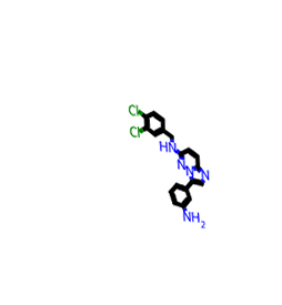 Nc1cccc(-c2cnc3ccc(NCc4ccc(Cl)c(Cl)c4)nn23)c1